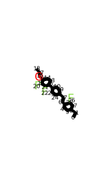 C=Cc1ccc(/C=C/c2ccc(-c3ccc(OCC)c(F)c3F)cc2)c(F)c1